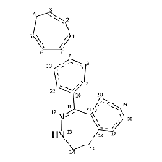 C1=CC=CCC=C1.c1ccc(C2=NNCCc3ccccc32)cc1